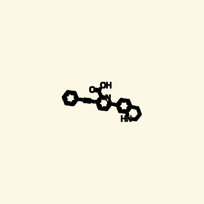 O=C(O)c1nc(-c2ccc3c(c2)NCCC3)ccc1C#Cc1ccccc1